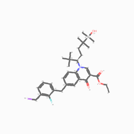 CCOC(=O)c1cn([C@H](CCC(C)(C)[Si](C)(C)O)C(C)(C)C)c2ccc(Cc3cccc(CI)c3F)cc2c1=O